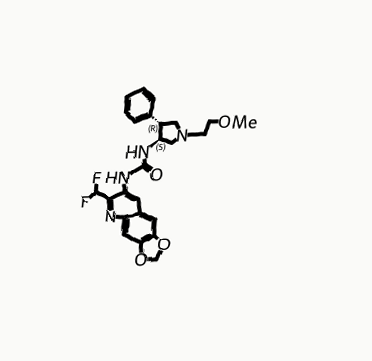 COCCN1C[C@@H](NC(=O)Nc2cc3cc4c(cc3nc2C(F)F)OCO4)[C@H](c2ccccc2)C1